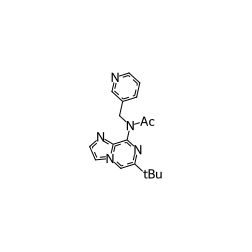 CC(=O)N(Cc1cccnc1)c1nc(C(C)(C)C)cn2ccnc12